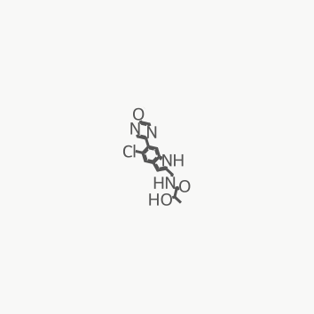 COc1cnc(-c2cc3[nH]c(CNC(=O)C(C)O)cc3cc2Cl)cn1